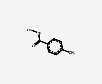 Cc1ccc(C(=O)N[NH])cc1